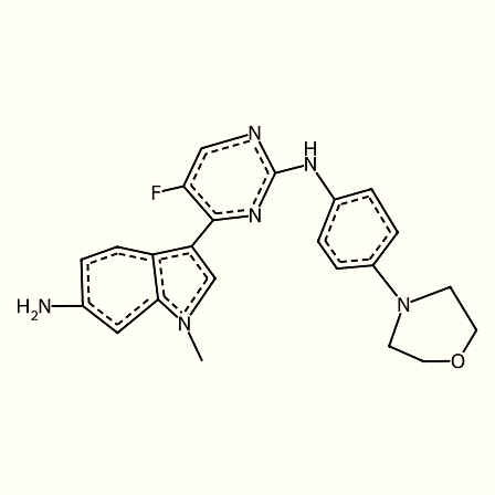 Cn1cc(-c2nc(Nc3ccc(N4CCOCC4)cc3)ncc2F)c2ccc(N)cc21